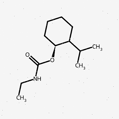 CCNC(=O)O[C@H]1CCCCC1C(C)C